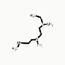 CCN(C)CCN(C)CCNC